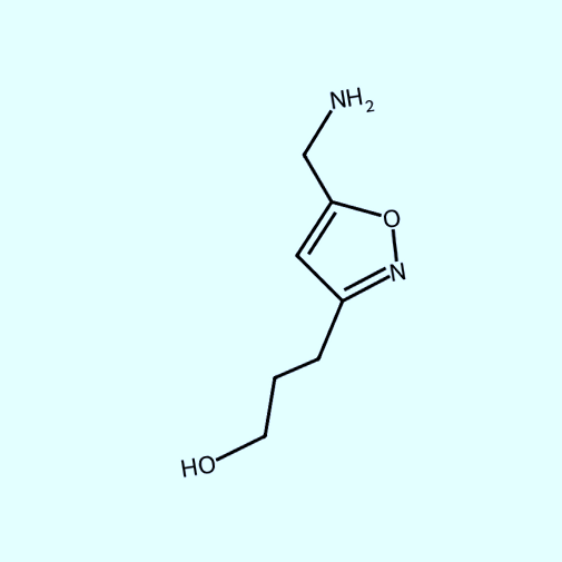 NCc1cc(CCCO)no1